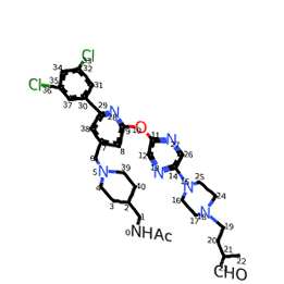 CC(=O)NCC1CCN(Cc2cc(Oc3cnc(N4CCN(CCC(C)C=O)CC4)cn3)nc(-c3cc(Cl)cc(Cl)c3)c2)CC1